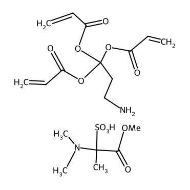 C=CC(=O)OC(CCN)(OC(=O)C=C)OC(=O)C=C.COC(=O)C(C)(N(C)C)S(=O)(=O)O